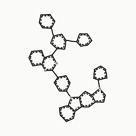 c1ccc(-c2cc(-c3ccccc3)cc(-c3nc(-c4ccc(-n5c6ccccc6c6cc7ccn(-c8ccccc8)c7cc65)cc4)nc4ccccc34)c2)cc1